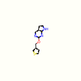 c1cc2cnc(OCc3ccsc3)nc2[nH]1